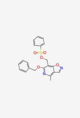 Cc1nc(OCc2ccccc2)c(COS(=O)(=O)c2ccccc2)c2oncc12